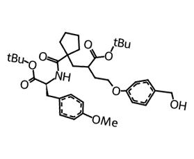 COc1ccc(C[C@H](NC(=O)C2(CC(CCOc3ccc(CO)cc3)C(=O)OC(C)(C)C)CCCC2)C(=O)OC(C)(C)C)cc1